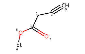 C#CCC(=O)OC[CH2]